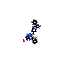 O=C(N1CCC(CNc2cc(-c3ccccc3Cl)nc3c(Br)cnn23)CC1)C1(c2ccccc2)CCCC1